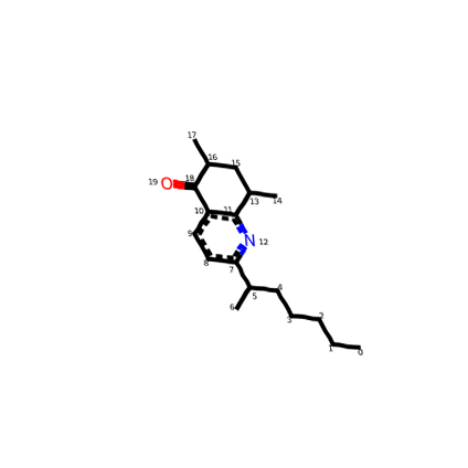 CCCCCC(C)c1ccc2c(n1)C(C)CC(C)C2=O